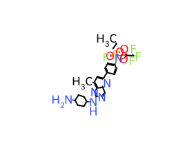 CCCS(=O)(=O)N(OC(=O)C(F)(F)F)c1ccc(-c2cc(C)c3nc(NC4CCC(N)CC4)ncc3n2)cc1F